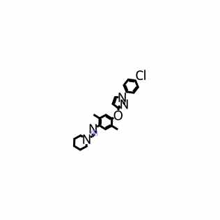 Cc1cc(Oc2ccn(-c3ccc(Cl)cc3)n2)c(C)cc1/N=C/N1CCCCC1